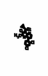 CCC(C1CC1)n1c(=O)c(C)nc2c(-c3ccc(Cl)cc3Cl)ccnc21